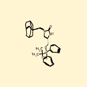 CC(C)(C)[Si](OC[C@@H]1CN(CC23CC4CC(CC(C4)C2)C3)C(=O)N1)(c1ccccc1)c1ccccc1